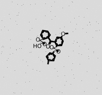 COc1ccc(S(=O)(=O)c2ccc(C)cc2)c(C(=O)c2ccccc2S(=O)(=O)O)c1